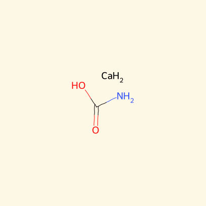 NC(=O)O.[CaH2]